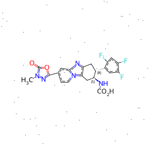 Cn1nc(-c2ccn3c4c(nc3c2)C[C@H](c2cc(F)c(F)cc2F)[C@@H](NC(=O)O)C4)oc1=O